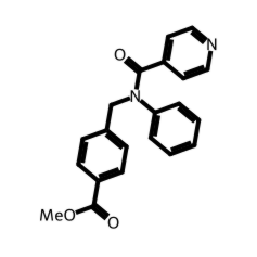 COC(=O)c1ccc(CN(C(=O)c2ccncc2)c2ccccc2)cc1